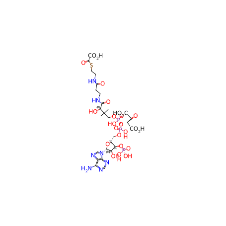 CC(C)(COP(=O)(O)OP(=O)(O)OC[C@H]1O[C@@H](n2cnc3c(N)ncnc32)[C@H](O)[C@@H]1OP(=O)(O)O)[C@@H](O)C(=O)NCCC(=O)NCCSC(=O)C(=O)O.O=C(O)CC(=O)C(=O)O